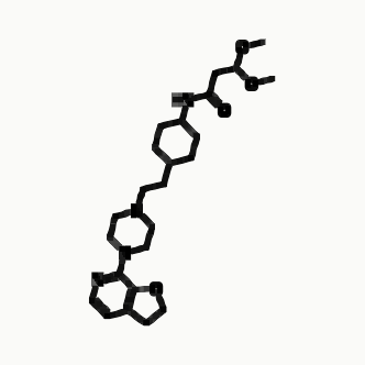 COC(CC(=O)NC1CCC(CCN2CCN(c3nccc4c3OCC4)CC2)CC1)OC